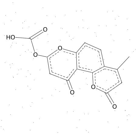 Cc1cc(=O)oc2c1ccc1oc(OC(=O)O)cc(=O)c12